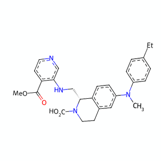 CCc1ccc(N(C)c2ccc3c(c2)CCN(C(=O)O)[C@@H]3CNc2cnccc2C(=O)OC)cc1